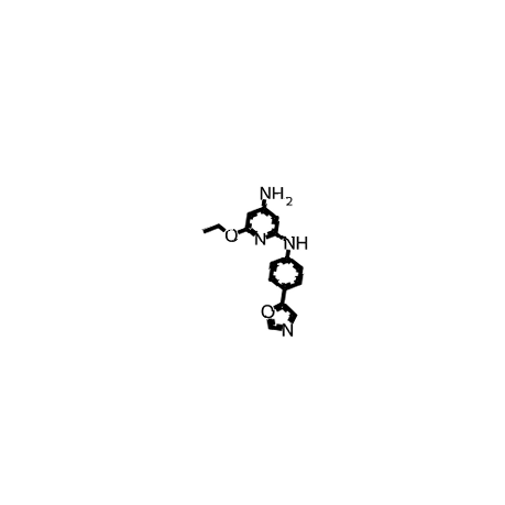 CCOc1cc(N)cc(Nc2ccc(-c3cnco3)cc2)n1